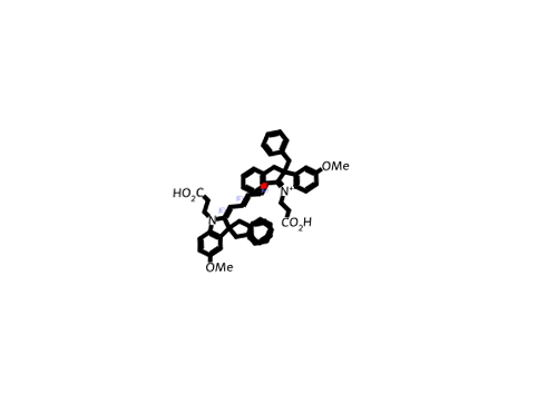 COc1ccc2c(c1)C(Cc1ccccc1)(Cc1ccccc1)C(/C=C/C=C/C=C1/N(CCC(=O)O)c3ccc(OC)cc3C1(Cc1ccccc1)Cc1ccccc1)=[N+]2CCC(=O)O